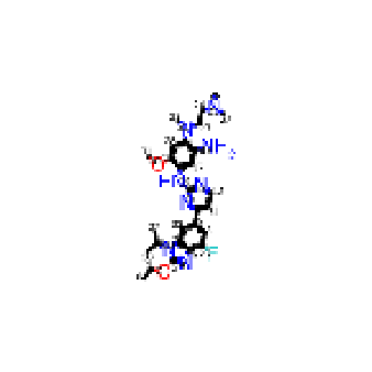 CCOc1nc2c(F)cc(-c3ccnc(Nc4cc(N)c(N(C)CCN(C)C)cc4OC)n3)cc2n1C(C)C